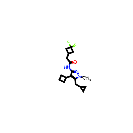 Cn1nc(NC(=O)CC2CC(F)(F)C2)c(C2CCC2)c1CC1CC1